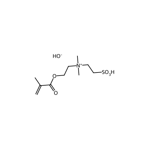 C=C(C)C(=O)OCC[N+](C)(C)CCS(=O)(=O)O.[OH-]